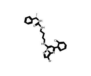 C[C@H](NC(=O)NCCCCNc1cc(-c2ccccc2Cl)nc2c(Br)cnn12)c1ccccc1